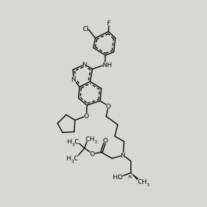 C[C@@H](O)CN(CCCCOc1cc2c(Nc3ccc(F)c(Cl)c3)ncnc2cc1OC1CCCC1)CC(=O)OC(C)(C)C